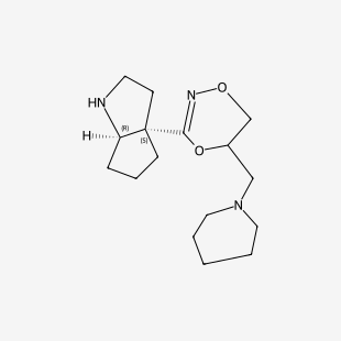 C1CCN(CC2CON=C([C@]34CCC[C@H]3NCC4)O2)CC1